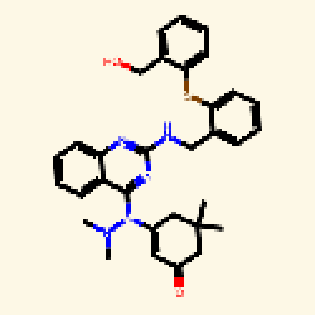 CN(C)N(C1=CC(=O)CC(C)(C)C1)c1nc(NCc2ccccc2Sc2ccccc2CO)nc2ccccc12